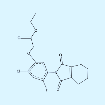 CCOC(=O)COc1cc(N2C(=O)C3=C(CCCC3)C2=O)c(F)cc1Cl